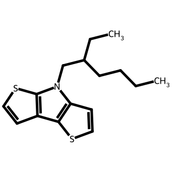 CCCCC(CC)Cn1c2ccsc2c2ccsc21